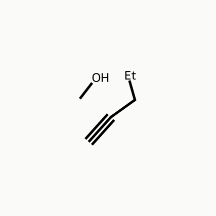 C#CCCC.CO